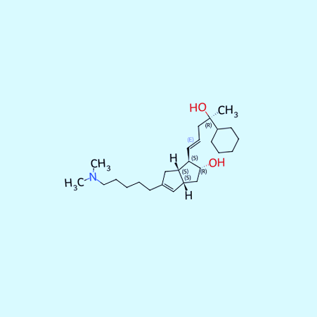 CN(C)CCCCCC1=C[C@H]2C[C@@H](O)[C@H](/C=C/C[C@@](C)(O)C3CCCCC3)[C@H]2C1